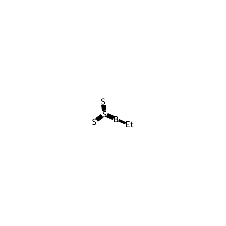 CCB=S(=S)=S